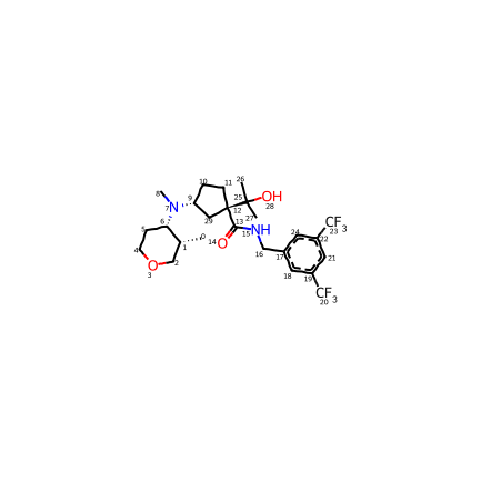 C[C@@H]1COCC[C@@H]1N(C)[C@@H]1CC[C@@](C(=O)NCc2cc(C(F)(F)F)cc(C(F)(F)F)c2)(C(C)(C)O)C1